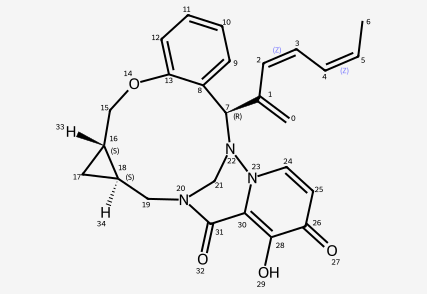 C=C(/C=C\C=C/C)[C@@H]1c2ccccc2OC[C@H]2C[C@@H]2CN2CN1n1ccc(=O)c(O)c1C2=O